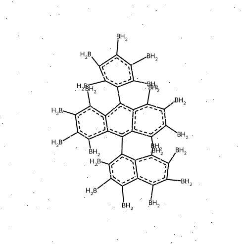 Bc1c(B)c(B)c(-c2c3c(B)c(B)c(B)c(B)c3c(-c3c(B)c(B)c(B)c4c(B)c(B)c(B)c(B)c34)c3c(B)c(B)c(B)c(B)c23)c(B)c1B